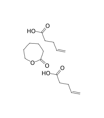 C=CCCC(=O)O.C=CCCC(=O)O.O=C1CCCCCO1